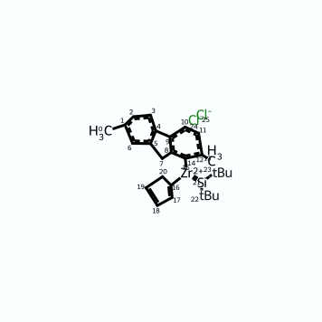 Cc1ccc2c(c1)Cc1c-2ccc(C)[c]1[Zr+2]([C]1=CC=CC1)=[Si](C(C)(C)C)C(C)(C)C.[Cl-].[Cl-]